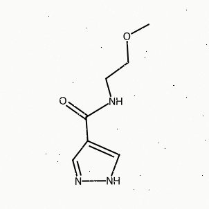 COCCNC(=O)c1cn[nH]c1